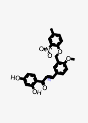 COc1ccc(/C=C/C(=O)c2ccc(O)cc2O)cc1COc1ccc(C)cc1[N+](=O)[O-]